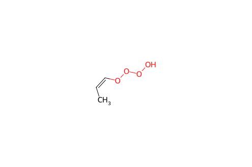 C/C=C\OOOO